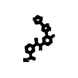 C=C(C#N)c1cccc(C(=O)Nc2ccc(C)c(-n3cc(-c4cncs4)nn3)c2)c1